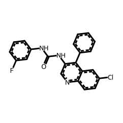 O=C(Nc1cccc(F)c1)Nc1cnc2ccc(Cl)cc2c1-c1ccccc1